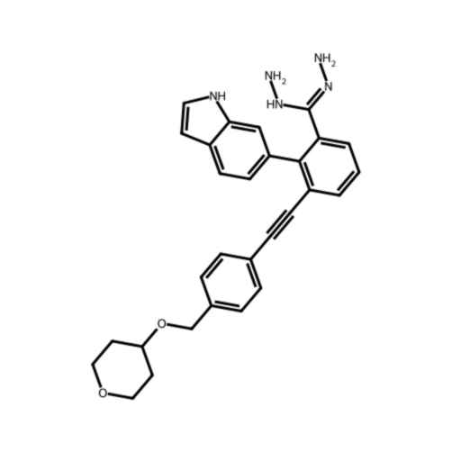 N/N=C(\NN)c1cccc(C#Cc2ccc(COC3CCOCC3)cc2)c1-c1ccc2cc[nH]c2c1